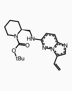 C=Cc1cnc2ccc(NC[C@@H]3CCCCN3C(=O)OC(C)(C)C)nn12